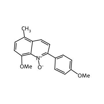 COc1ccc(-c2ccc3c(C)ccc(OC)c3[n+]2[O-])cc1